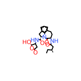 CC[C@H](C)CC(=O)N[C@H]1CCc2cccc3c2N(C1=O)[C@H](C(=O)NC1CC(=O)OC1O)C3